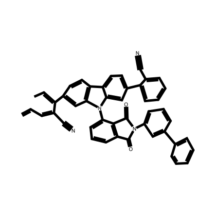 C=C/C=C(C#N)\C(=C/C)c1ccc2c3ccc(-c4ccccc4C#N)cc3n(-c3cccc4c3C(=O)N(c3cccc(-c5ccccc5)c3)C4=O)c2c1